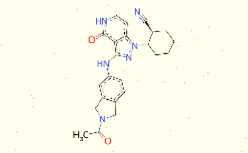 CC(=O)N1Cc2ccc(Nc3nn([C@H]4CCCC[C@@H]4C#N)c4cc[nH]c(=O)c34)cc2C1